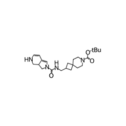 CC(C)(C)OC(=O)N1CCC2(CC1)CC(CNC(=O)N1C=C3C=CNCC3C1)C2